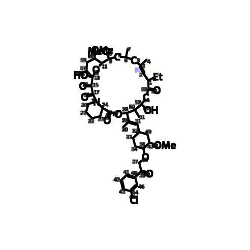 CCC1/C=C(\C)CC(C)CC(OC)C2OC(O)(C(=O)C(=O)N3CCCCC3C(=O)OC(C(C)=CC3CCC(OCC(=O)c4cccc(Cl)c4)C(OC)C3)C(C)C(O)CC1=O)C(C)CC2OC